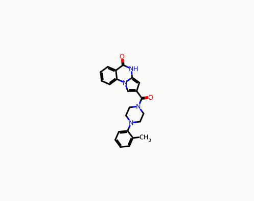 Cc1ccccc1N1CCN(C(=O)c2cc3[nH]c(=O)c4ccccc4n3c2)CC1